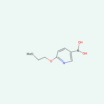 COCCOc1ccc(B(O)O)cn1